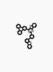 C1=CC2Sc3c(-c4cccc(-c5nc(-c6ccc7c8ccccc8c8ccccc8c7c6)c6sc7c(c6n5)C=CCC7)c4)cccc3C2C=C1